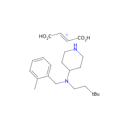 Cc1ccccc1CN(CCC(C)(C)C)C1CCNCC1.O=C(O)/C=C/C(=O)O